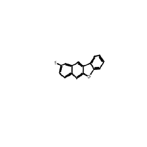 Fc1ccc2cc3oc4ccccc4c3cc2c1